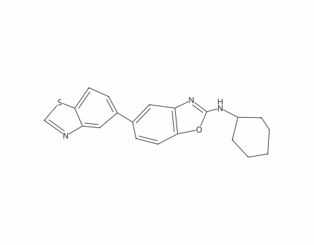 c1nc2cc(-c3ccc4oc(NC5CCCCC5)nc4c3)ccc2s1